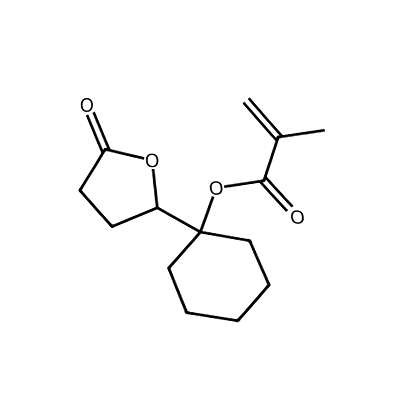 C=C(C)C(=O)OC1(C2CCC(=O)O2)CCCCC1